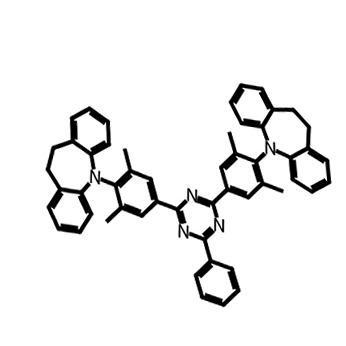 Cc1cc(-c2nc(-c3ccccc3)nc(-c3cc(C)c(N4c5ccccc5CCc5ccccc54)c(C)c3)n2)cc(C)c1N1c2ccccc2CCc2ccccc21